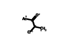 CC(=O)C(=O)C(C)Cl